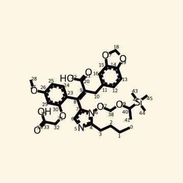 CCCCc1ncc(/C(=C(\Cc2ccc3c(c2)OCO3)C(=O)O)c2ccc(OC)cc2OCC(=O)O)n1OCOC(C)[Si](C)(C)C